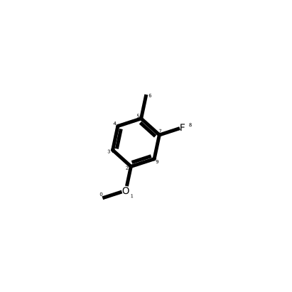 COc1[c]cc(C)c(F)c1